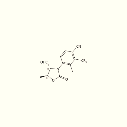 Cc1c(N2C(=O)O[C@@H](C)[C@@H]2C=O)ccc(C#N)c1C(F)(F)F